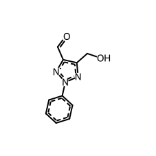 O=Cc1nn(-c2ccccc2)nc1CO